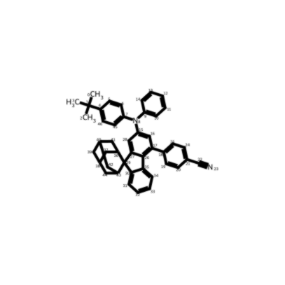 CC(C)(C)c1ccc(N(c2ccccc2)c2cc(-c3ccc(C#N)cc3)c3c(c2)C2(c4ccccc4-3)C3CC4CC(C3)CC2C4)cc1